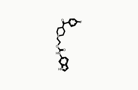 O=C(Nc1ccc2cc[nH]c2c1)OCCN1CCC(C(=O)c2ccc(F)cc2)CC1